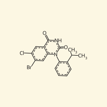 CC(C)c1ccccc1-n1c(=O)[nH]c(=O)c2cc(Cl)c(Br)cc21